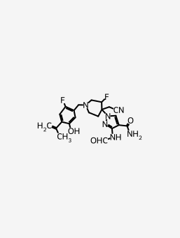 C=C(C)c1cc(F)c(CN2CCC(CC#N)(n3cc(C(N)=O)c(NC=O)n3)C(F)C2)cc1O